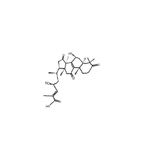 C/C(=C\[C@@H](O)C[C@@H](C)[C@H]1CC(=O)[C@@]2(C)C3=C(C(=O)C[C@]12C)[C@@]1(C)CCC(=O)C(C)(C)[C@@H]1C[C@@H]3O)C(=O)O